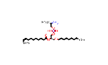 CCCCCC/C=C\CCCCCCCC(=O)O[C@H](COCCCCCCCCCCCCCCCCCC)COP(=O)(O)OC[C@H](N)C(=O)O